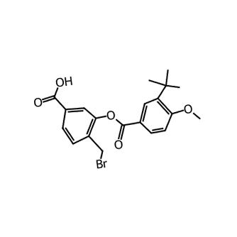 COc1ccc(C(=O)Oc2cc(C(=O)O)ccc2CBr)cc1C(C)(C)C